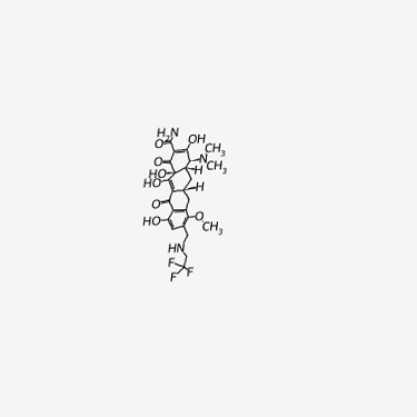 COc1c(CNCC(F)(F)F)cc(O)c2c1C[C@H]1C[C@H]3[C@H](N(C)C)C(O)=C(C(N)=O)C(=O)[C@@]3(O)C(O)=C1C2=O